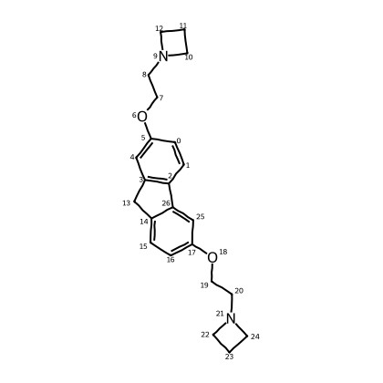 c1cc2c(cc1OCCN1CCC1)Cc1ccc(OCCN3CCC3)cc1-2